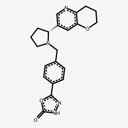 O=c1[nH]nc(-c2ccc(CN3CCC[C@@H]3c3cnc4c(c3)OCCC4)cc2)o1